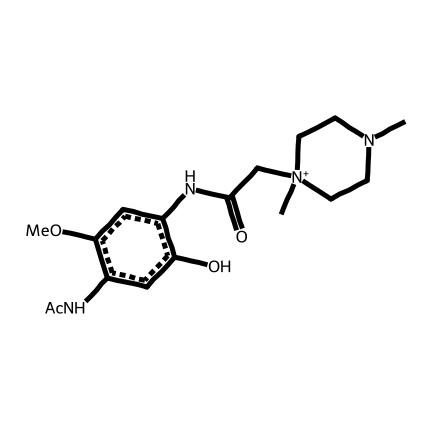 COc1cc(NC(=O)C[N+]2(C)CCN(C)CC2)c(O)cc1NC(C)=O